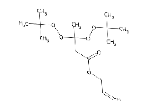 C=CCOC(=O)CC(C)(OOC(C)(C)C)OOC(C)(C)C